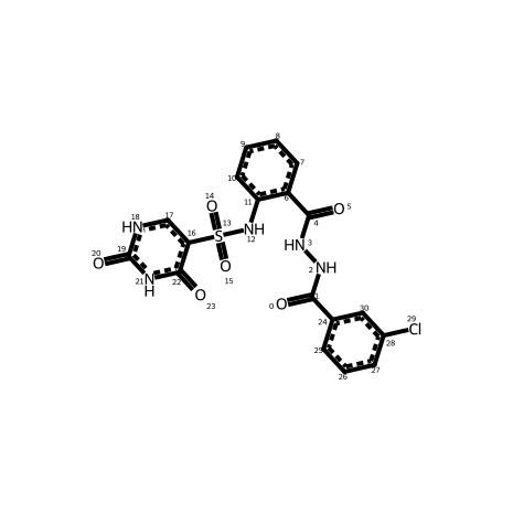 O=C(NNC(=O)c1ccccc1NS(=O)(=O)c1c[nH]c(=O)[nH]c1=O)c1cccc(Cl)c1